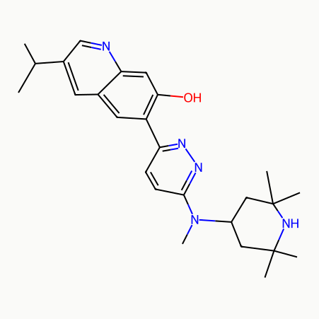 CC(C)c1cnc2cc(O)c(-c3ccc(N(C)C4CC(C)(C)NC(C)(C)C4)nn3)cc2c1